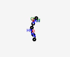 O=C(CN1CCN(Cc2ccccc2)CC1)Nc1ccc(C2CCN(C(=O)Nc3c(Cl)cccc3Cl)CC2)cc1